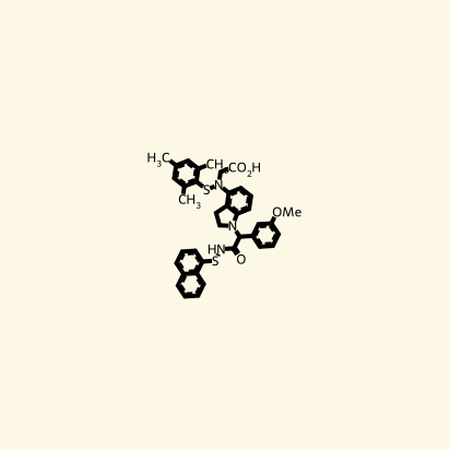 COc1cccc(C(C(=O)NSc2cccc3ccccc23)N2CCc3c(N(CC(=O)O)Sc4c(C)cc(C)cc4C)cccc32)c1